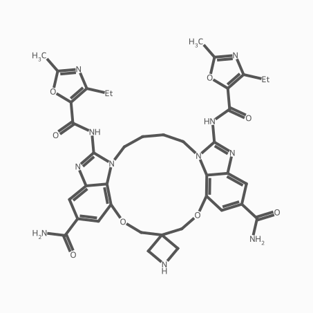 CCc1nc(C)oc1C(=O)Nc1nc2cc(C(N)=O)cc3c2n1CCCCn1c(NC(=O)c2oc(C)nc2CC)nc2cc(C(N)=O)cc(c21)OCC1(CNC1)CO3